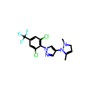 CC1=CCN(C)N1c1cnn(-c2c(Cl)cc(C(F)(F)F)cc2Cl)c1